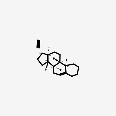 C#C[C@H]1CC[C@H]2[C@@H]3CC=C4CCCC[C@]4(C)[C@H]3CC[C@]12C